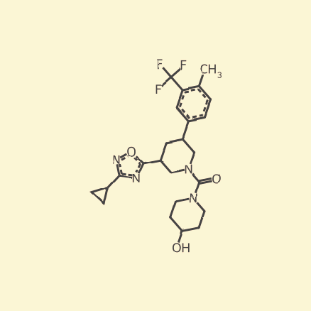 Cc1ccc(C2CC(c3nc(C4CC4)no3)CN(C(=O)N3CCC(O)CC3)C2)cc1C(F)(F)F